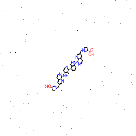 Cc1c(Nc2nccc3cc(CN4CC[C@H](C(=O)O)C4)cnc23)cccc1-c1nccc(Nc2nccc3cc(CN4CC[C@@H](O)C4)cnc23)c1C